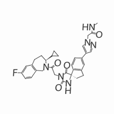 CNC(=O)Cn1cc(-c2ccc3c(c2)CC[C@@]32NC(=O)N(CC(=O)N3Cc4ccc(F)cc4CC[C@H]3C3CC3)C2=O)cn1